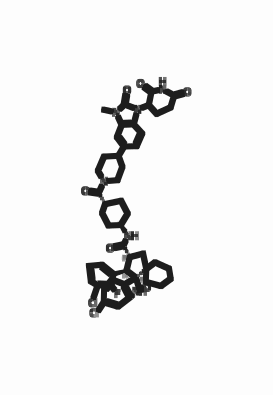 Cn1c(=O)n(C2CCC(=O)NC2=O)c2ccc(C3CCN(C(=O)[C@H]4CC[C@H](NC(=O)[C@@H]5CC6(CCCCC6)[C@@]6(C(=O)Nc7cc(Cl)ccc76)[C@H]5c5cccc(Cl)c5F)CC4)CC3)cc21